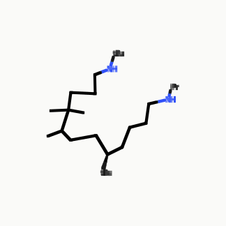 CC(C)NCCCC[C@H](CCC(C)C(C)(C)CCCNC(C)(C)C)C(C)(C)C